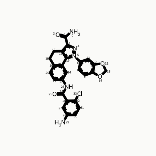 NC(=O)c1nn(-c2ccc3c(c2)OCO3)c2c1CCc1ccc(NC(=O)c3cc(N)ccc3Cl)cc1-2